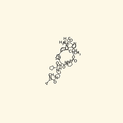 CCn1c(-c2cccnc2[C@H](C)OC)c2c3cc(ccc31)-c1csc(n1)C[C@H](NC(=O)[C@H](C1CCCC1)N1CC[C@]3(CCN(C(=O)[C@H]4[C@@H](C5CC5)N4C)C3)C1)C(=O)N1CCC[C@H](N1)C(=O)OCC(C)(C)C2